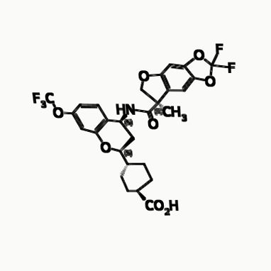 C[C@]1(C(=O)N[C@H]2C[C@@H]([C@H]3CC[C@H](C(=O)O)CC3)Oc3cc(OC(F)(F)F)ccc32)COc2cc3c(cc21)OC(F)(F)O3